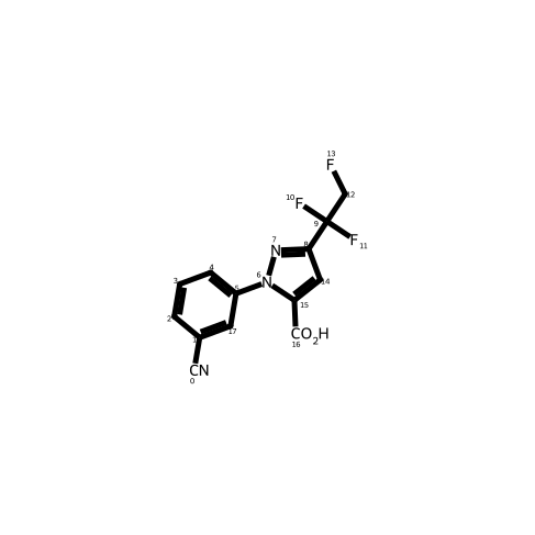 N#Cc1cccc(-n2nc(C(F)(F)CF)cc2C(=O)O)c1